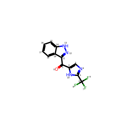 O=C(c1cnc(C(F)(F)F)[nH]1)c1n[nH]c2ccccc12